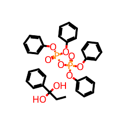 CCC(O)(O)c1ccccc1.O=P(Oc1ccccc1)(Oc1ccccc1)OP(=O)(Oc1ccccc1)Oc1ccccc1